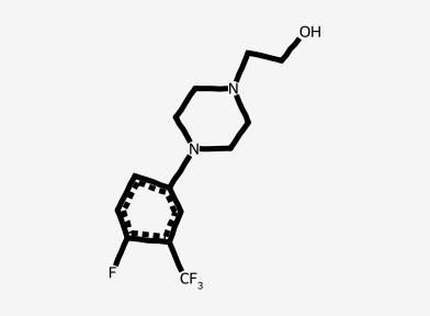 OCCN1CCN(c2ccc(F)c(C(F)(F)F)c2)CC1